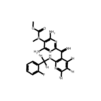 [2H]c1nc(NC([2H])([2H])c2ccccc2F)c(C(=N)c2nc(N)c(N(C)C(=O)OC)c(N)n2)c([2H])c1[2H]